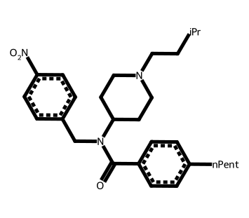 CCCCCc1ccc(C(=O)N(Cc2ccc([N+](=O)[O-])cc2)C2CCN(CCC(C)C)CC2)cc1